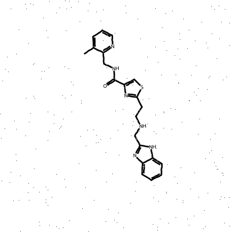 Cc1cccnc1CNC(=O)c1csc(CCNCc2nc3ccccc3[nH]2)n1